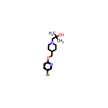 CC(C)(O)CN1CCC(COc2ccc(Br)cn2)CC1